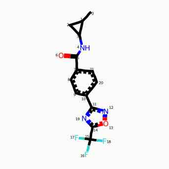 CC1CC1NC(=O)c1ccc(-c2noc(C(F)(F)F)n2)cc1